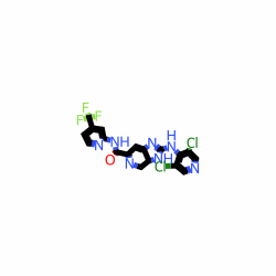 O=C(Nc1cc(C(F)(F)F)ccn1)C1=NCC2NC(Nc3c(Cl)cncc3Cl)=NC2=C1